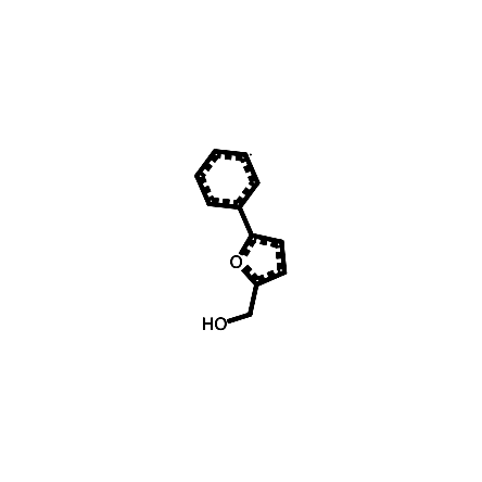 OCc1ccc(-c2c[c]ccc2)o1